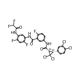 O=C(Nc1cc(NC(=O)C(F)F)c(F)cc1F)c1cc(NC(=O)[C@H]2[C@H](c3ccc(Cl)c(Cl)c3)C2(Cl)Cl)ccc1F